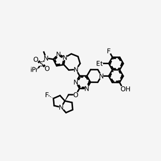 CCc1c(F)ccc2cc(O)cc(N3CCc4c(nc(OC[C@@]56CCCN5C[C@H](F)C6)nc4N4CCCn5nc(N(C)S(=O)(=O)C(C)C)cc5C4)C3)c12